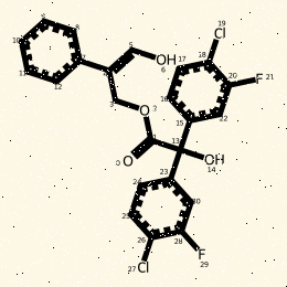 O=C(OCC(=CO)c1ccccc1)C(O)(c1ccc(Cl)c(F)c1)c1ccc(Cl)c(F)c1